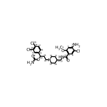 COc1cc(N)c(Cl)cc1C(=O)NCC1CCN(CCC(OC(N)=O)c2ccc(Cl)c(Cl)c2)CC1